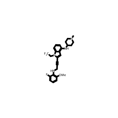 COc1cccc(F)c1NCC#Cc1cc2c(NC3CCN(C)CC3)cccc2n1CC(F)(F)F